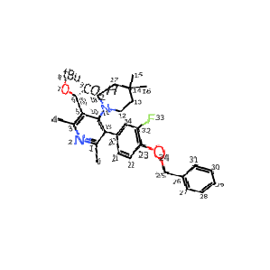 Cc1nc(C)c([C@H](OC(C)(C)C)C(=O)O)c(N2CCC(C)(C)CC2)c1-c1ccc(OCc2ccccc2)c(F)c1